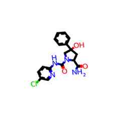 NC(=O)C1CC(O)(c2ccccc2)CN1C(=O)Nc1ccc(Cl)cn1